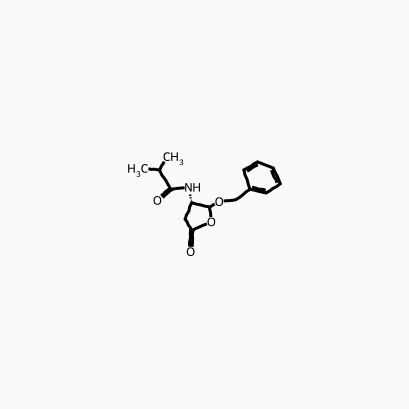 CC(C)C(=O)N[C@H]1CC(=O)OC1OCc1ccccc1